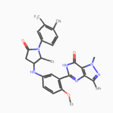 CCCc1nn(C)c2c(=O)[nH]c(-c3cc(NC4CC(=O)N(c5ccc(C#N)c(C(F)(F)F)c5)C4CC)ccc3OCC)nc12